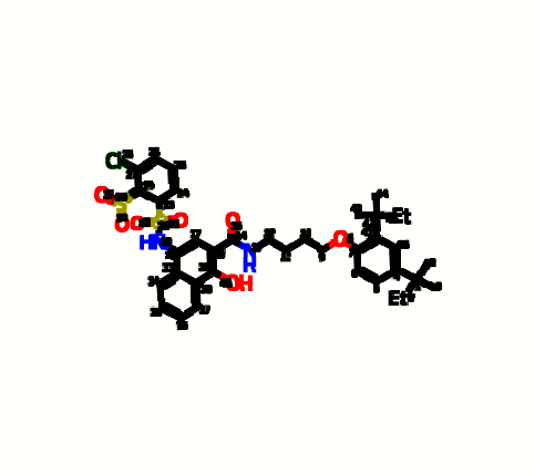 CCC(C)(C)c1ccc(OCCCCNC(=O)c2cc(NS(=O)(=O)C3C=CC=C(Cl)C3=S(=O)=O)c3ccccc3c2O)c(C(C)(C)CC)c1